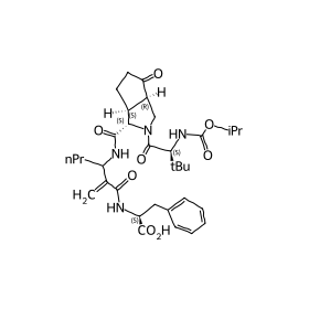 C=C(C(=O)N[C@@H](Cc1ccccc1)C(=O)O)C(CCC)NC(=O)[C@@H]1[C@H]2CCC(=O)[C@H]2CN1C(=O)[C@@H](NC(=O)OC(C)C)C(C)(C)C